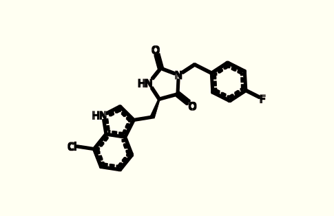 O=C1N[C@H](Cc2c[nH]c3c(Cl)cccc23)C(=O)N1Cc1ccc(F)cc1